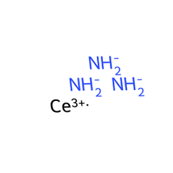 [Ce+3].[NH2-].[NH2-].[NH2-]